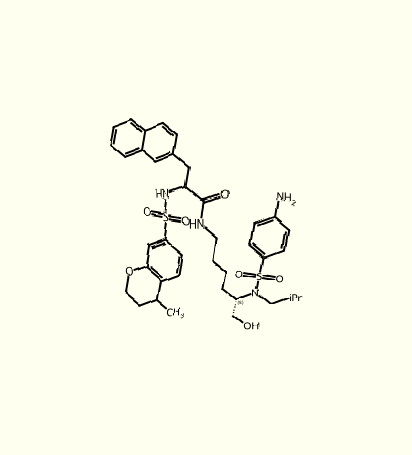 CC(C)CN([C@H](CO)CCCCNC(=O)C(Cc1ccc2ccccc2c1)NS(=O)(=O)c1ccc2c(c1)OCCC2C)S(=O)(=O)c1ccc(N)cc1